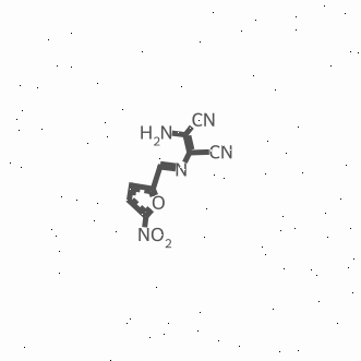 N#CC(N)=C(C#N)N=Cc1ccc([N+](=O)[O-])o1